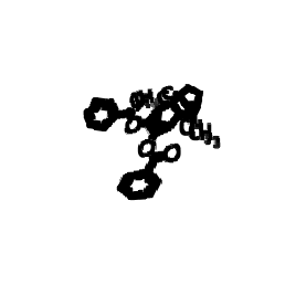 CC12CCC3C1C3(C)C1(C)C3CC(C(OC(=O)c4ccccc4)C3OC(=O)c3ccccc3)C21C